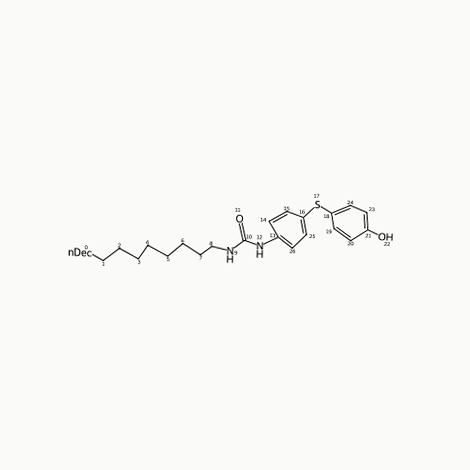 CCCCCCCCCCCCCCCCCCNC(=O)Nc1ccc(Sc2ccc(O)cc2)cc1